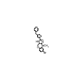 CN1C(=O)C(NC(=O)n2cc(Cc3ccncc3)cn2)COc2ccc(Br)cc21